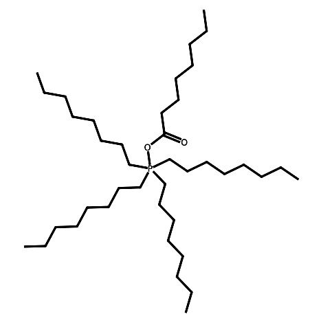 CCCCCCCCP(CCCCCCCC)(CCCCCCCC)(CCCCCCCC)OC(=O)CCCCCCC